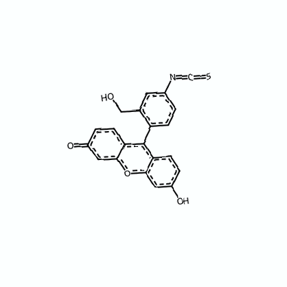 O=c1ccc2c(-c3ccc(N=C=S)cc3CO)c3ccc(O)cc3oc-2c1